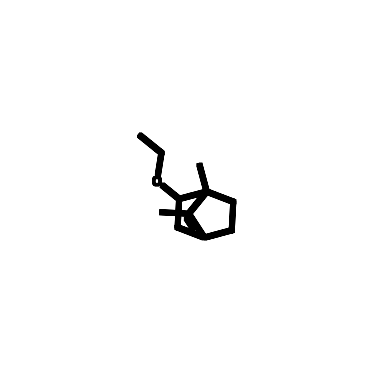 CCOC1CC2=C(C)C1(C)CC2